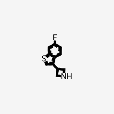 Fc1ccc2c(C3CNC3)csc2c1